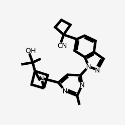 Cc1nc(N2CC3(C(C)(C)O)CC2C3)cc(-n2ncc3ccc(C4(C#N)CCC4)cc32)n1